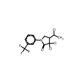 CC(Cl)C1CN(c2cccc(C(F)(F)F)c2)C(=O)C1(Cl)Cl